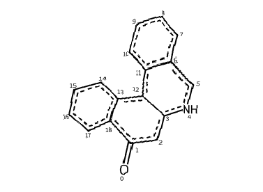 O=c1cc2[nH]cc3ccccc3c-2c2ccccc12